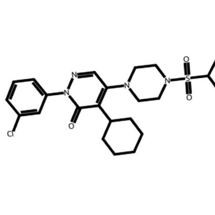 CC(C)S(=O)(=O)N1CCN(c2cnn(-c3cccc(Cl)c3)c(=O)c2C2CCCCC2)CC1